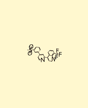 CS(=O)(=O)c1cccc(-c2ccnc(-c3ccnc4c(C(F)(F)F)cccc34)c2)c1